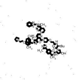 Cc1ncsc1-c1ccc([C@H](C)NC(=O)[C@@H]2C[C@@H](O)CN2C(=O)[C@@H](NC(=O)CCOC2CCN(C(=O)c3nc(N4CCCc5c4nnc(Nc4nc6ccccc6s4)c5C)ccc3-c3cnn(CC45CC6(OCCN7CCCC7)C[C@](C)(C4)C[C@](C)(C5)C6)c3C)CC2)C(C)(C)C)cc1